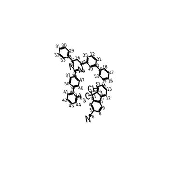 CC1(C)c2cc(C#N)ccc2-c2ccc(-c3cccc(-c4cccc(C5CC(c6ccccc6)=NC(c6ccc(-c7ccccc7)cc6)=N5)c4)c3)cc21